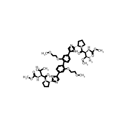 COCCOc1cc(-c2cnc([C@@H]3CCCN3C(=O)[C@@H](NC(=O)OC)C(C)C)[nH]2)ccc1-c1ccc(-c2cnc([C@@H]3CCCN3C(=O)[C@@H](NC(=O)OC)[C@@H](C)OC)[nH]2)cc1OCCOC